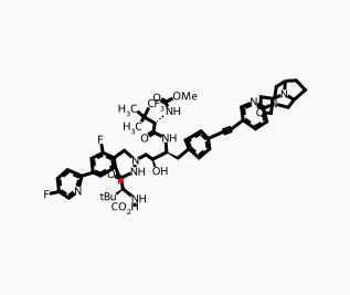 COC(=O)N[C@H](C(=O)N[C@@H](Cc1ccc(C#Cc2ccc(N3CC4CCC(C3)N4C3COC3)nc2)cc1)[C@@H](O)CN(Cc1c(F)cc(-c2ccc(F)cn2)cc1F)NC(=O)[C@@H](NC(=O)O)C(C)(C)C)C(C)(C)C(F)(F)F